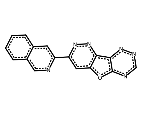 c1ccc2cc(-c3cc4oc5ncnnc5c4nn3)ncc2c1